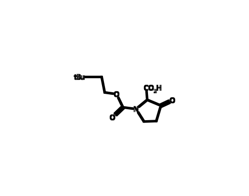 CC(C)(C)CCOC(=O)N1CCC(=O)C1C(=O)O